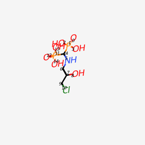 O=P(O)(O)C(NCC(O)CCl)P(=O)(O)O